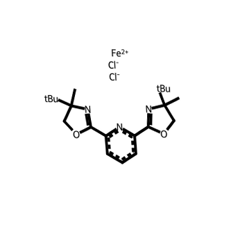 CC(C)(C)C1(C)COC(c2cccc(C3=NC(C)(C(C)(C)C)CO3)n2)=N1.[Cl-].[Cl-].[Fe+2]